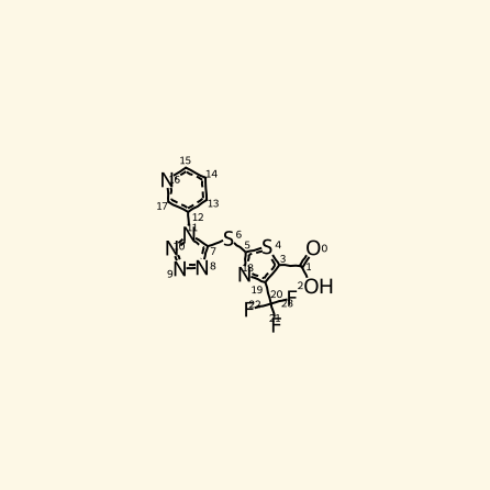 O=C(O)c1sc(Sc2nnnn2-c2cccnc2)nc1C(F)(F)F